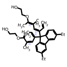 C=C/C(=C\C(C)=C(/C)OCCO)C1(C(/C=C(/C)C(=C)OCCO)=C/C)c2ccc(CC)cc2-c2cc(CC)ccc21